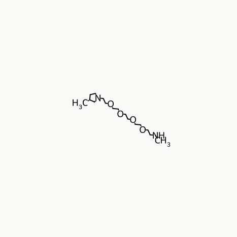 CNCCOCCOCCOCCOCCN1CC[C@H](C)C1